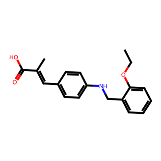 CCOc1ccccc1CNc1ccc(/C=C(\C)C(=O)O)cc1